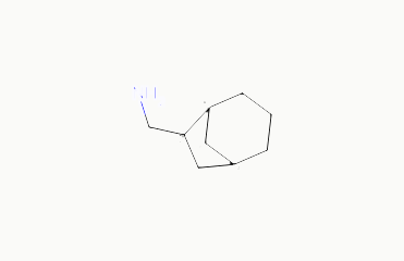 NCC1CC2CCCC1C2